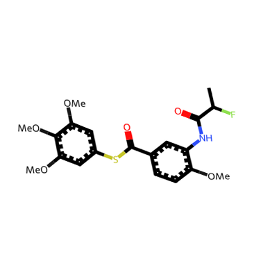 COc1ccc(C(=O)Sc2cc(OC)c(OC)c(OC)c2)cc1NC(=O)C(C)F